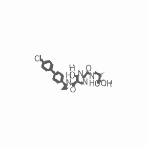 C[C@@H](CNC(=O)c1ncc(C(=O)NC2(c3ccc(-c4ccc(Cl)cc4)cc3)CC2)c(O)n1)C(=O)O